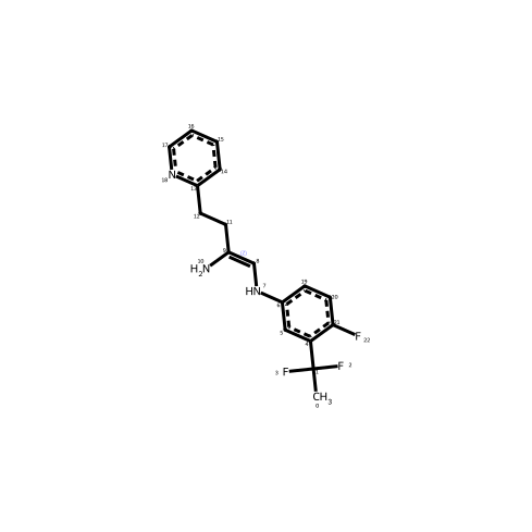 CC(F)(F)c1cc(N/C=C(\N)CCc2ccccn2)ccc1F